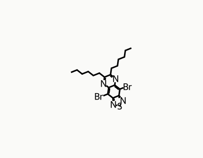 CCCCCCc1nc2c(Br)c3nsnc3c(Br)c2nc1CCCCCC